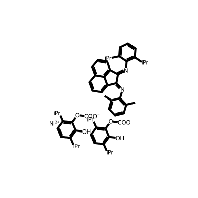 CC(C)c1ccc(C(C)C)c(OC(=O)[O-])c1O.CC(C)c1ccc(C(C)C)c(OC(=O)[O-])c1O.Cc1cccc(C)c1N=C1C(=Nc2c(C(C)C)cccc2C(C)C)c2cccc3cccc1c23.[Ni+2]